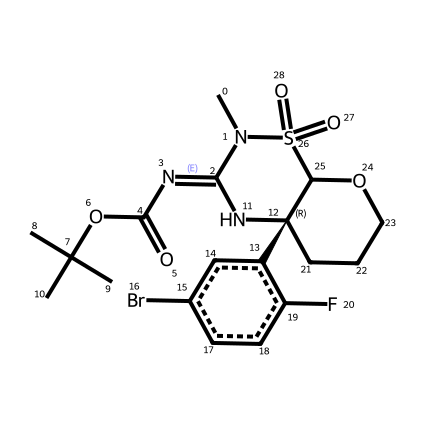 CN1/C(=N/C(=O)OC(C)(C)C)N[C@@]2(c3cc(Br)ccc3F)CCCOC2S1(=O)=O